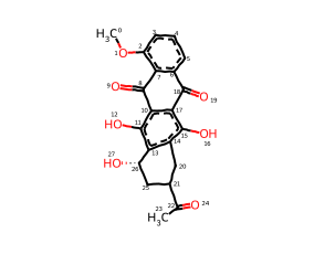 COc1cccc2c1C(=O)c1c(O)c3c(c(O)c1C2=O)CC(C(C)=O)C[C@@H]3O